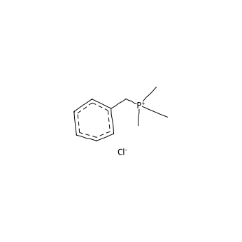 C[P+](C)(C)Cc1ccccc1.[Cl-]